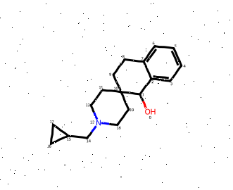 OC1c2ccccc2CCC12CCN(CC1CC1)CC2